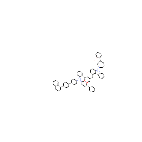 C1=C(n2c3ccccc3c3c(Cc4cccc(-c5ccccc5N(c5ccc(-c6ccccc6)cc5)c5ccc(-c6ccc(-c7cccc8ccccc78)cc6)cc5)c4)cccc32)C=c2oc3ccccc3c2=CC1